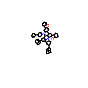 c1ccc(-c2ccc(N3B4c5c(cc6c(oc7ccccc76)c5-n5c6ccc(C78CC9CC%10CC(C7)C%109C8)cc6c6cc(C78CC9CC(CC(C9)C7)C8)cc4c65)-c4cc5oc6ccccc6c5cc43)cc2)cc1